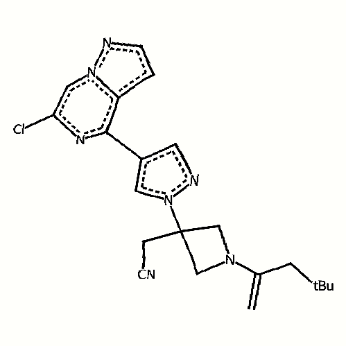 C=C(CC(C)(C)C)N1CC(CC#N)(n2cc(-c3nc(Cl)cn4nccc34)cn2)C1